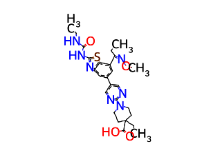 CCNC(=O)Nc1nc2cc(-c3cnc(N4CCC(CC)(C(=O)O)CC4)nc3)cc(/C(CC)=N\OC)c2s1